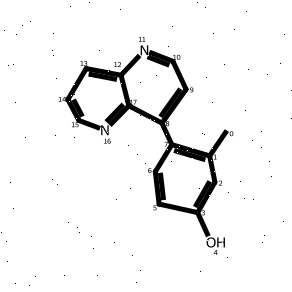 Cc1cc(O)ccc1-c1ccnc2cccnc12